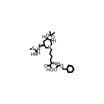 CSC(=N)N/N=C1/C[C@@H]2OC(C)(C)O[C@@H]2CN(CCCCC(NC(=O)OCc2ccccc2)C(=O)O)C1